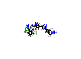 C[C@H](Oc1cc(-c2cnn([C@H]3C[C@@]4(CCCNC4)C3)c2)cnc1N)c1c(Cl)ccc(F)c1Cl